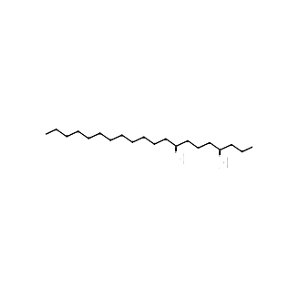 CCCCCCCCCCCCC(O)CCCC(O)CCC